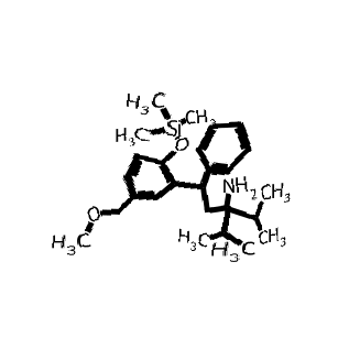 COCc1ccc(O[Si](C)(C)C)c(C(CC(N)(C(C)C)C(C)C)c2ccccc2)c1